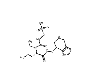 CCC[C@@H](C(=O)NOC1CNCc2ccoc21)N(CC)C(=O)NOS(=O)(=O)O